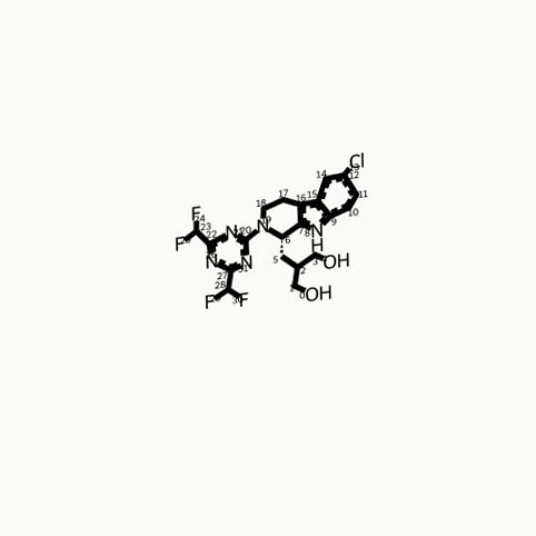 OCC(CO)C[C@H]1c2[nH]c3ccc(Cl)cc3c2CCN1c1nc(C(F)F)nc(C(F)F)n1